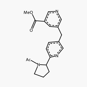 COC(=O)c1cncc(Cc2ccc(C3CCCN3C(C)=O)nc2)c1